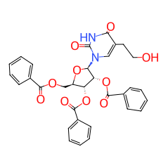 O=C(OC[C@H]1O[C@@H](n2cc(CCO)c(=O)[nH]c2=O)[C@H](OC(=O)c2ccccc2)[C@@H]1OC(=O)c1ccccc1)c1ccccc1